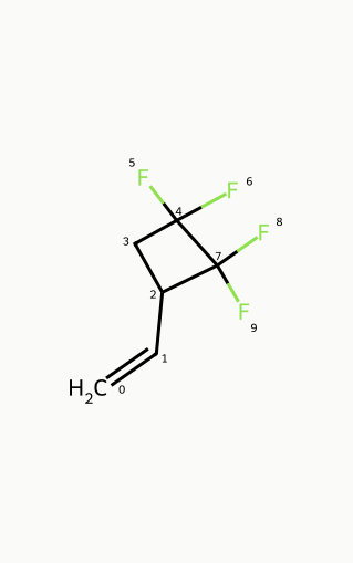 C=CC1CC(F)(F)C1(F)F